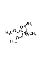 B[C@@H]1O[C@@]2(COC)C(COC)OC1[C@H]2OC